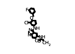 C=CC(=O)Nc1cc2c(Nc3ccc(OCc4cccc(F)c4)c(Cl)c3)ncnc2cc1Cl